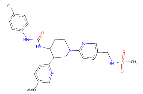 COc1ccc(C2CN(c3ccc(CNS(C)(=O)=O)cn3)CCC2NC(=O)Nc2ccc(Cl)cc2)nc1